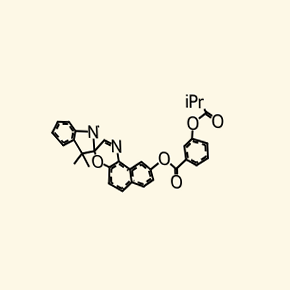 CC(C)C(=O)Oc1cccc(C(=O)Oc2ccc3ccc4c(c3c2)N=CC2(O4)N(C)c3ccccc3C2(C)C)c1